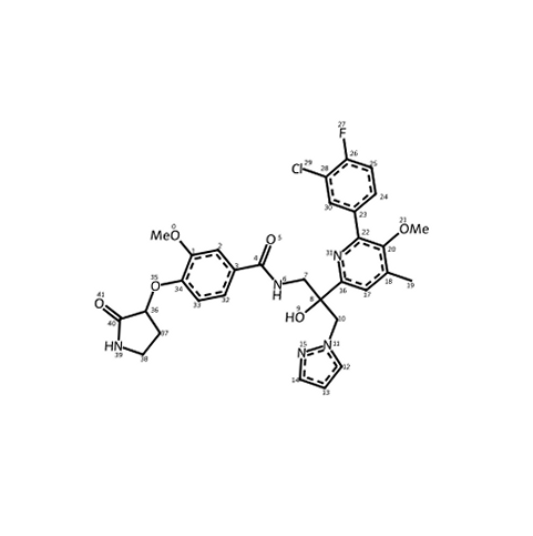 COc1cc(C(=O)NCC(O)(Cn2cccn2)c2cc(C)c(OC)c(-c3ccc(F)c(Cl)c3)n2)ccc1OC1CCNC1=O